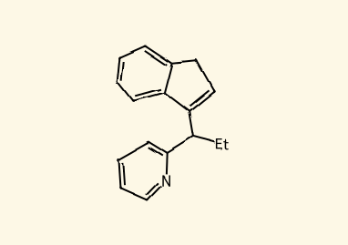 CCC(C1=CCc2ccccc21)c1ccccn1